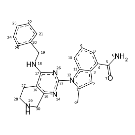 Cc1cc2c(C(N)=O)cccc2n1-c1nc2c(c(NCc3ccccc3)n1)CCNC2